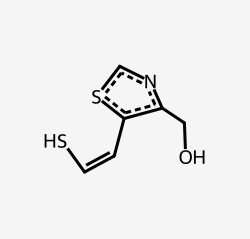 OCc1ncsc1/C=C\S